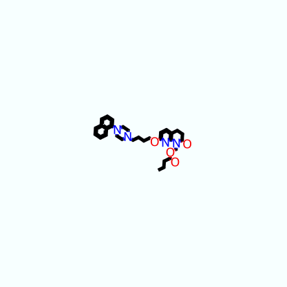 CCCC(=O)OCN1C(=O)CCc2ccc(OCCCCN3CCN(c4cccc5ccccc45)CC3)nc21